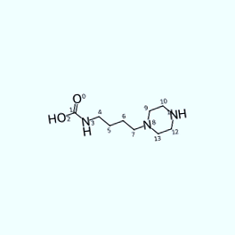 O=C(O)NCCCCN1CCNCC1